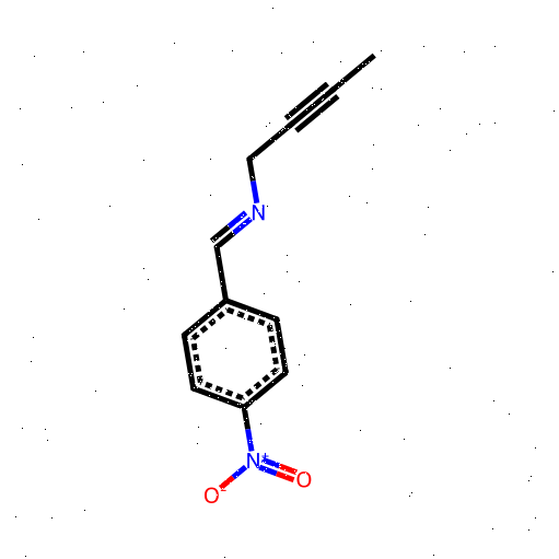 CC#CCN=Cc1ccc([N+](=O)[O-])cc1